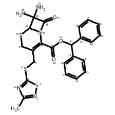 Cc1nsc(SCC2=C(C(=O)OC(c3ccccc3)c3ccccc3)N3C(=O)C(N)(N)C3SC2)n1